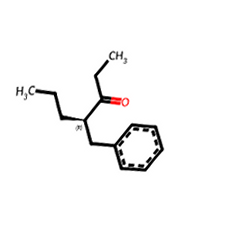 CCC[C@H](Cc1ccccc1)C(=O)CC